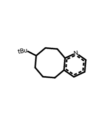 CC(C)(C)C1CCCc2cccnc2CC1